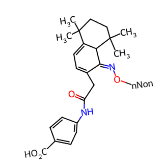 CCCCCCCCCON=C1C(CC(=O)Nc2ccc(C(=O)O)cc2)=CC=C2C1C(C)(C)CCC2(C)C